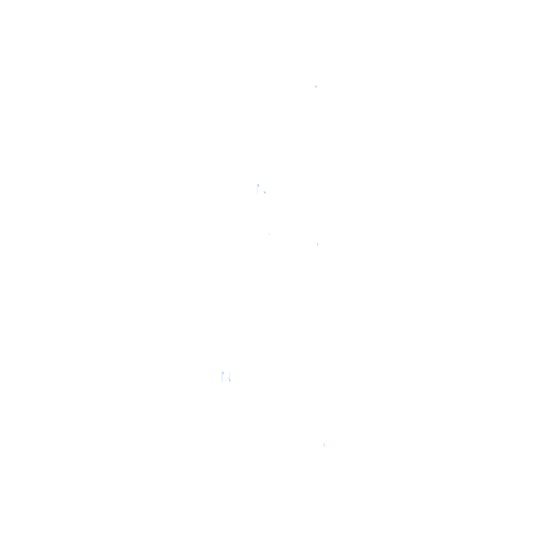 COCCN(C)C/C=C/C(=O)N1CCCC(C(C)(C)C)C1